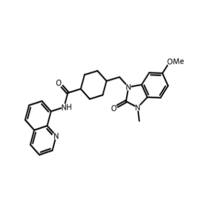 COc1ccc2c(c1)n(CC1CCC(C(=O)Nc3cccc4cccnc34)CC1)c(=O)n2C